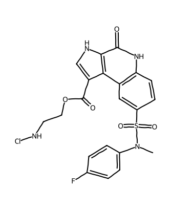 CN(c1ccc(F)cc1)S(=O)(=O)c1ccc2[nH]c(=O)c3[nH]cc(C(=O)OCCNCl)c3c2c1